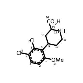 COc1ccc(Cl)c(Cl)c1C1CCNC(C(=O)O)C1